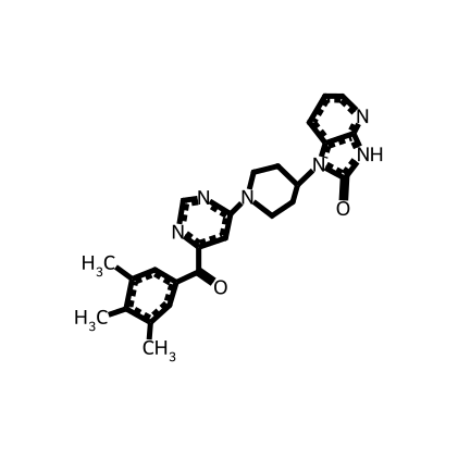 Cc1cc(C(=O)c2cc(N3CCC(n4c(=O)[nH]c5ncccc54)CC3)ncn2)cc(C)c1C